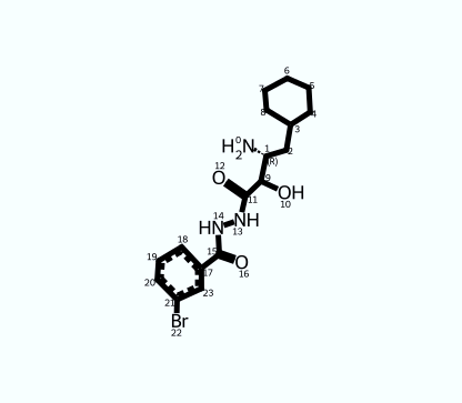 N[C@H](CC1CCCCC1)C(O)C(=O)NNC(=O)c1cccc(Br)c1